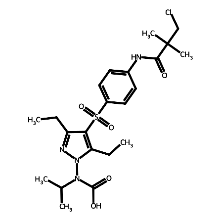 CCc1nn(N(C(=O)O)C(C)C)c(CC)c1S(=O)(=O)c1ccc(NC(=O)C(C)(C)CCl)cc1